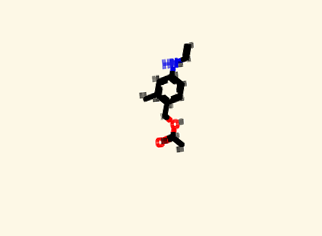 C=CNc1ccc(COC(C)=O)c(C)c1